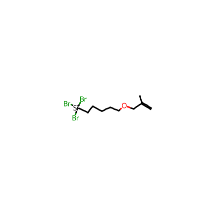 C=C(C)COCCCCC[Si](Br)(Br)Br